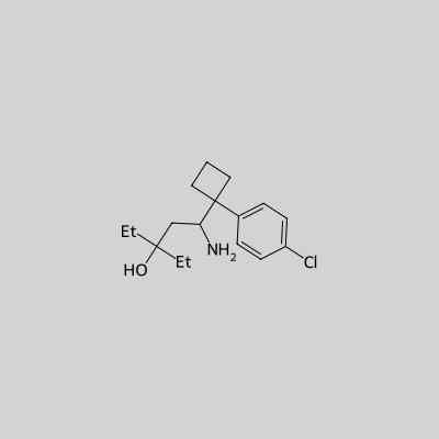 CCC(O)(CC)CC(N)C1(c2ccc(Cl)cc2)CCC1